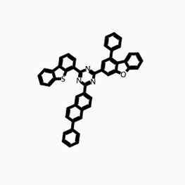 c1ccc(-c2ccc3cc(-c4nc(-c5cc(-c6ccccc6)c6c(c5)oc5ccccc56)nc(-c5cccc6c5sc5ccccc56)n4)ccc3c2)cc1